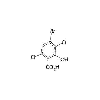 O=C(O)c1c(Cl)cc(Br)c(Cl)c1O